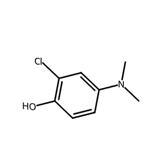 CN(C)c1ccc(O)c(Cl)c1